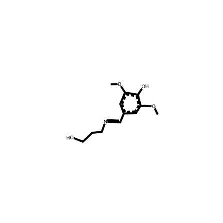 COc1cc(C=NCCCO)cc(OC)c1O